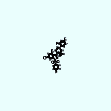 Cc1ccc(S(=O)(=O)n2nc(N3CCN(c4ncc(F)cc4F)CC34CC4)c3c(F)cc(Cl)cc32)cc1